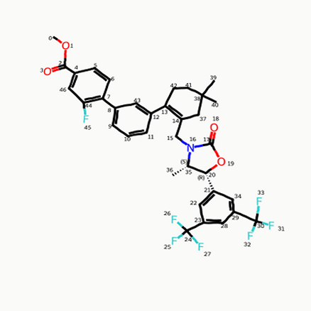 COC(=O)c1ccc(-c2cccc(C3=C(CN4C(=O)O[C@H](c5cc(C(F)(F)F)cc(C(F)(F)F)c5)[C@@H]4C)CC(C)(C)CC3)c2)c(F)c1